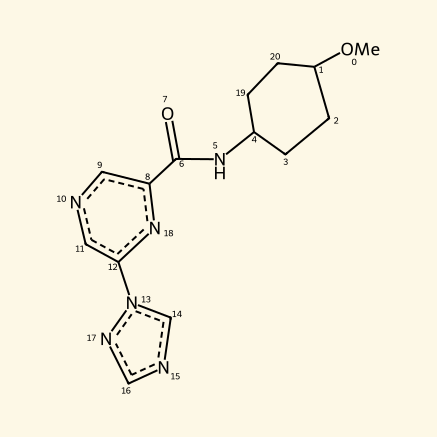 COC1CCC(NC(=O)c2cncc(-n3cncn3)n2)CC1